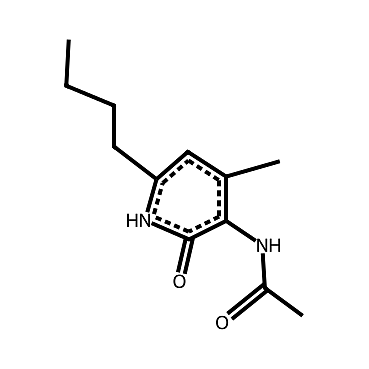 CCCCc1cc(C)c(NC(C)=O)c(=O)[nH]1